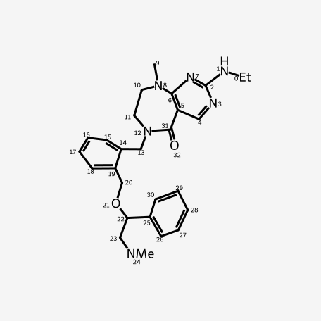 CCNc1ncc2c(n1)N(C)CCN(Cc1ccccc1COC(CNC)c1ccccc1)C2=O